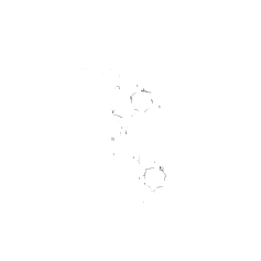 Cc1cc(C)nc(N2CC3CC2CN(C(=O)c2cccnc2OCC2CCC2)C3)n1